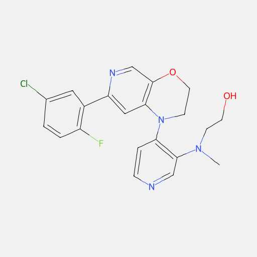 CN(CCO)c1cnccc1N1CCOc2cnc(-c3cc(Cl)ccc3F)cc21